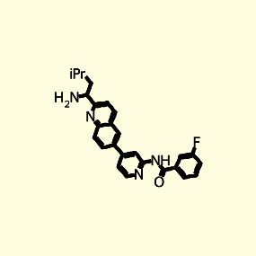 CC(C)CC(N)c1ccc2cc(-c3ccnc(NC(=O)c4cccc(F)c4)c3)ccc2n1